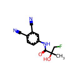 CC(O)(CF)C(=O)Nc1ccc(C#N)c(C#N)c1